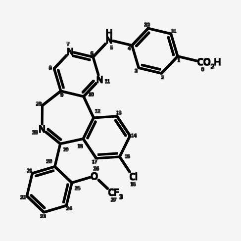 O=C(O)c1ccc(Nc2ncc3c(n2)-c2ccc(Cl)cc2C(c2ccccc2OC(F)(F)F)=NC3)cc1